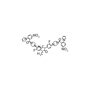 CC(C(=O)C(C)c1ccc(N2CCN(C(=O)c3cc([N+](=O)[O-])ccc3N3CC=CC3)CC2)c(F)c1)c1ccc(N2CCN(C(=O)c3cc([N+](=O)[O-])ccc3N3CC=CC3)CC2)c(F)c1